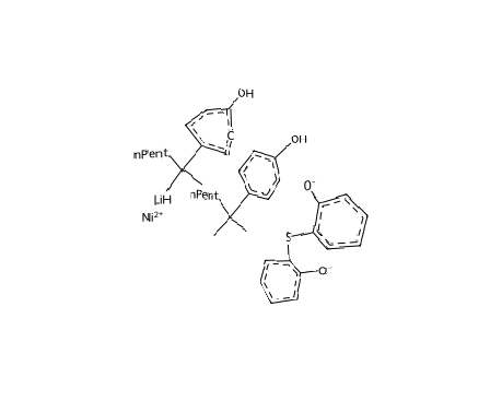 CCCCCC(C)(C)c1ccc(O)cc1.CCCCCC(C)(C)c1ccc(O)cc1.[LiH].[Ni+2].[O-]c1ccccc1Sc1ccccc1[O-]